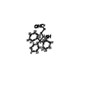 O=CCCC(S)C(c1ccccc1)(c1ccccc1)c1ccccc1